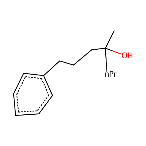 CCCC(C)(O)CCCc1ccccc1